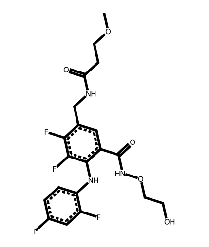 COCCC(=O)NCc1cc(C(=O)NOCCO)c(Nc2ccc(I)cc2F)c(F)c1F